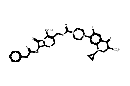 O=C(Cc1ccccc1)NC1C(=O)N2C(C(=O)O)=C(COC(=O)N3CCN(c4cc5c(cc4F)C(=O)C(C(=O)O)CN5C4CC4)CC3)CSC12